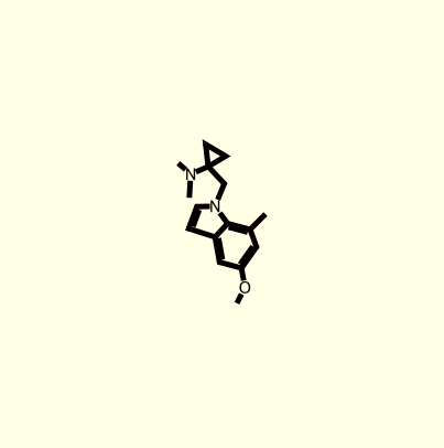 COc1cc(C)c2c(ccn2CC2(N(C)C)CC2)c1